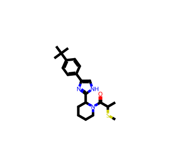 CSC(C)C(=O)N1CCCCC1c1nc(-c2ccc(C(C)(C)C)cc2)c[nH]1